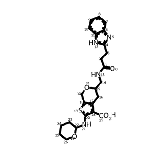 O=C(CCc1nc2ccccc2[nH]1)NCC1Cc2c(sc(NC3CCCCO3)c2C(=O)O)CO1